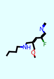 C=N/C=C(F)\C=C(\CNCCCC)COC